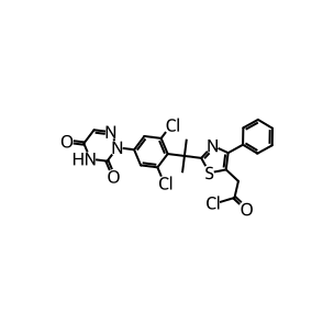 CC(C)(c1nc(-c2ccccc2)c(CC(=O)Cl)s1)c1c(Cl)cc(-n2ncc(=O)[nH]c2=O)cc1Cl